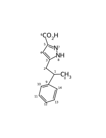 CC(Cc1cc(C(=O)O)n[nH]1)c1ccccc1